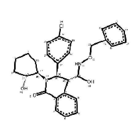 O=C1c2ccccc2[C@@H](C(O)NOCc2ccccc2)[C@H](c2ccc(Cl)cc2)N1[C@@H]1CCCC[C@H]1O